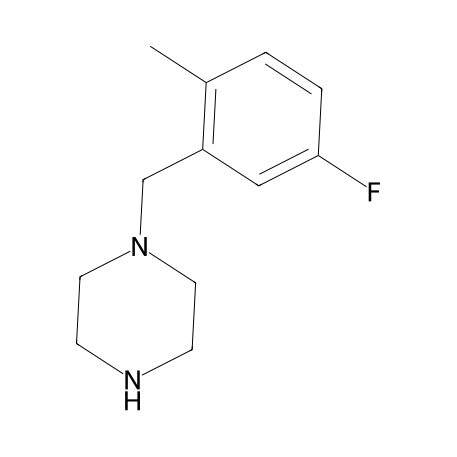 Cc1ccc(F)cc1CN1CCNCC1